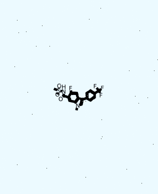 Cn1cc(-c2ccc(C(F)(F)F)cc2)c2cc(F)c(C(=O)NS(C)(=O)=O)cc21